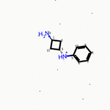 N[C@H]1C[C@H](Nc2ccccc2)C1